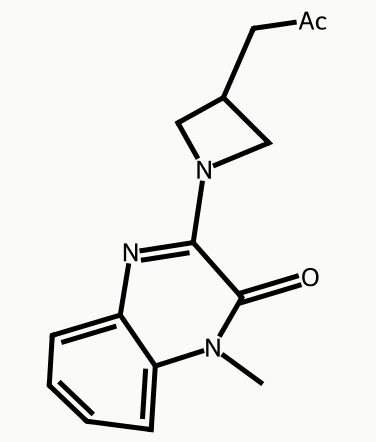 CC(=O)CC1CN(c2nc3ccccc3n(C)c2=O)C1